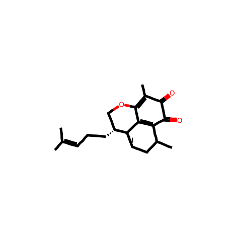 CC(C)=CCC[C@@H]1COC2=C(C)C(=O)C(=O)C3=C2[C@H]1CCC3C